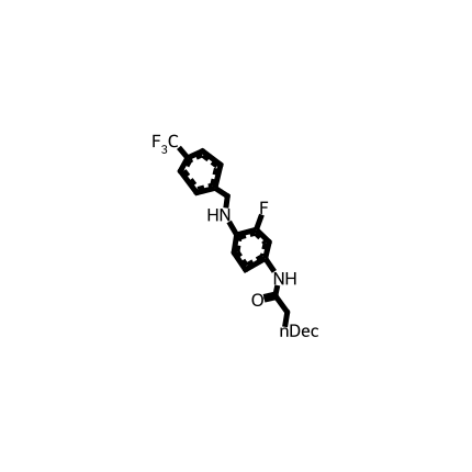 CCCCCCCCCCCC(=O)Nc1ccc(NCc2ccc(C(F)(F)F)cc2)c(F)c1